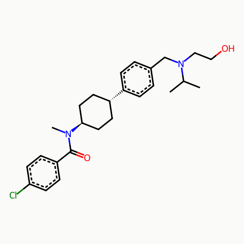 CC(C)N(CCO)Cc1ccc([C@H]2CC[C@H](N(C)C(=O)c3ccc(Cl)cc3)CC2)cc1